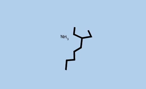 CCCCCC(CC)CC.N